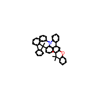 CC1(C)c2ccccc2Oc2cc(-c3ccccc3N(c3ccccc3)c3ccccc3C3(C)c4ccccc4-c4ccccc43)ccc21